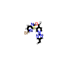 CCc1cnc(N2CCC([C@H](C)Oc3nc4ccc(Br)nc4s3)CC2)nc1